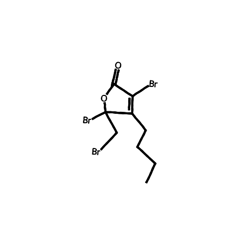 CCCCC1=C(Br)C(=O)OC1(Br)CBr